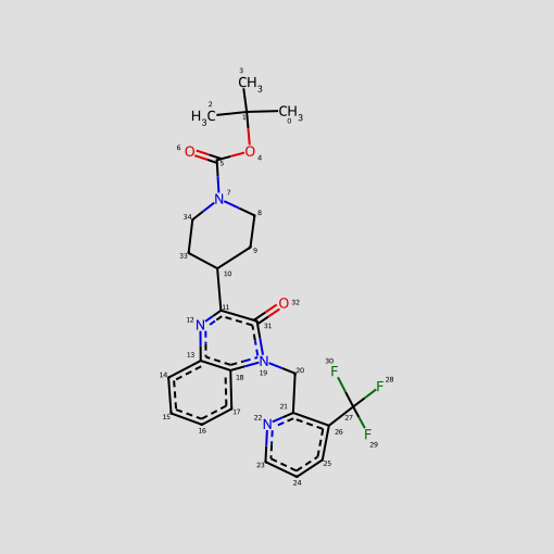 CC(C)(C)OC(=O)N1CCC(c2nc3ccccc3n(Cc3ncccc3C(F)(F)F)c2=O)CC1